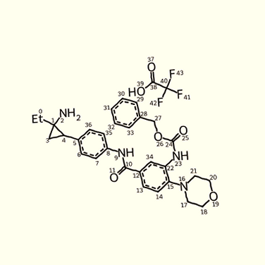 CCC1(N)CC1c1ccc(NC(=O)c2ccc(N3CCOCC3)c(NC(=O)OCc3ccccc3)c2)cc1.O=C(O)C(F)(F)F